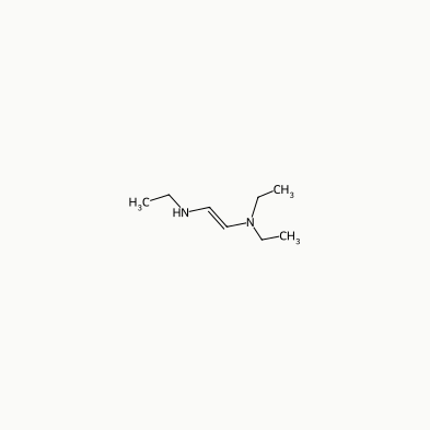 CCN/C=C/N(CC)CC